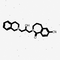 N#Cc1ccc2c(c1)CCCN(CC(O)CN1CCc3ccccc3C1)C2=O